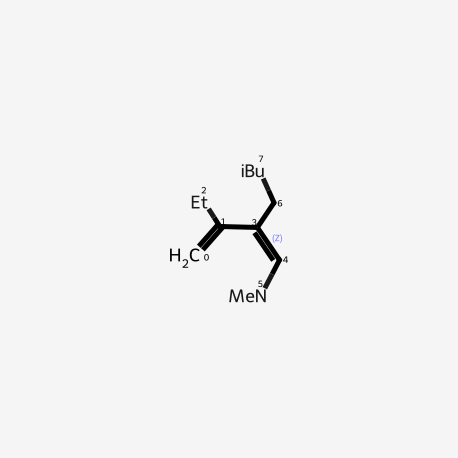 C=C(CC)/C(=C\NC)CC(C)CC